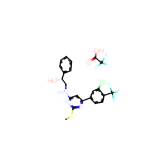 CSc1nc(NC[C@H](O)c2ccccc2)cc(-c2ccc(C(F)(F)F)c(Cl)c2)n1.O=C(O)C(F)(F)F